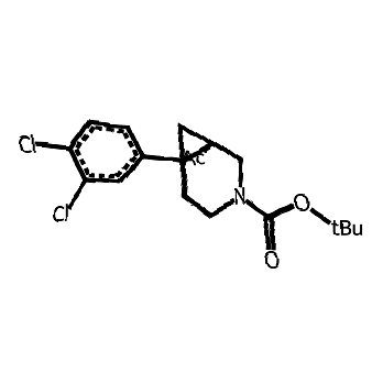 CC(=O)C12CN(C(=O)OC(C)(C)C)CCC1(c1ccc(Cl)c(Cl)c1)C2